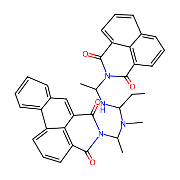 CCC(NC(C)N1C(=O)c2cccc3cccc(c23)C1=O)N(C)C(C)N1C(=O)c2cccc3c2c(cc2ccccc23)C1=O